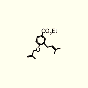 C=C(C)COc1ccc(C(=O)OCC)cc1CC=C(C)C